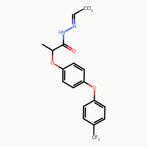 CC(Oc1ccc(Oc2ccc(C(F)(F)F)cc2)cc1)C(=O)NN=CC(Cl)(Cl)Cl